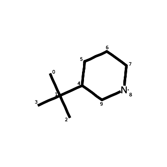 CC(C)(C)C1CCC[N]C1